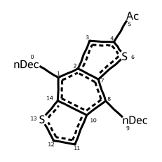 CCCCCCCCCCc1c2cc(C(C)=O)sc2c(CCCCCCCCCC)c2ccsc12